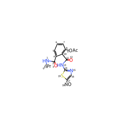 CCCNC(=O)c1cccc(OC(C)=O)c1C(=O)Nc1ncc(N=O)s1